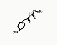 CCCCNC(=O)NC(=O)CN1CCC(C=O)CC1